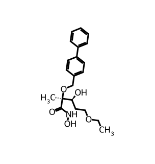 CCOCC[C@H](O)[C@](C)(OCc1ccc(-c2ccccc2)cc1)C(=O)NO